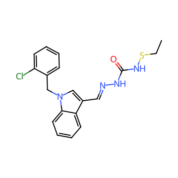 CCSNC(=O)N/N=C/c1cn(Cc2ccccc2Cl)c2ccccc12